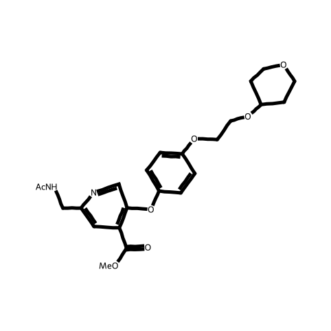 COC(=O)c1cc(CNC(C)=O)ncc1Oc1ccc(OCCOC2CCOCC2)cc1